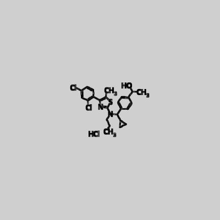 CCCN(c1nc(-c2ccc(Cl)cc2Cl)c(C)s1)C(c1ccc(C(C)O)cc1)C1CC1.Cl